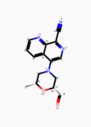 C[C@@H]1CN(c2cnc(C#N)c3ncccc23)C[C@H](C=O)O1